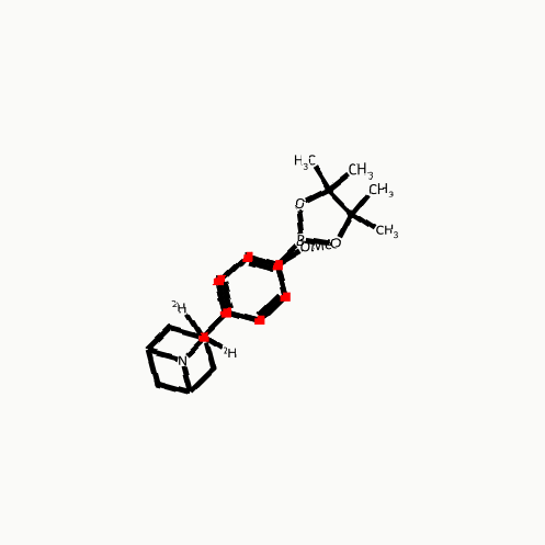 [2H]C([2H])(c1ccc(OC)nc1)N1C2CC1CN(c1ccc(B3OC(C)(C)C(C)(C)O3)cn1)C2